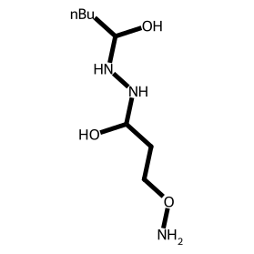 CCCCC(O)NNC(O)CCON